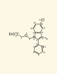 CCOC(=O)COCn1c(-c2ccccn2)c(C)c2cc(Cl)ccc21